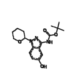 CC(C)(C)OC(=O)Nc1nn(C2CCCCO2)c2ccc(O)cc12